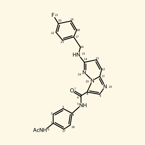 CC(=O)Nc1ccc(NC(=O)c2cnc3ccc(NCc4ccc(F)cc4)nn23)cc1